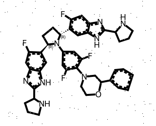 Fc1cc2nc(C3CCCN3)[nH]c2cc1[C@H]1CC[C@H](c2cc3[nH]c(C4CCCN4)nc3cc2F)N1c1cc(F)c(N2CCOC(c3ccccc3)C2)c(F)c1